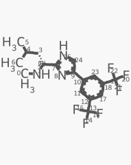 CN[C@H](CC(C)C)c1nc(-c2cc(C(F)(F)F)cc(C(F)(F)F)c2)c[nH]1